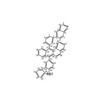 c1cc(-c2ccc3ccccc3c2)cc(-c2c3ccccc3c(-c3ccc4[nH]c5ccccc5c4c3)c3ccc4ccccc4c23)c1